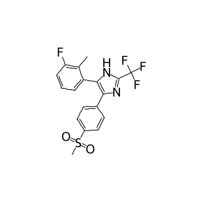 Cc1c(F)cccc1-c1[nH]c(C(F)(F)F)nc1-c1ccc(S(C)(=O)=O)cc1